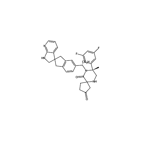 C[C@@]1(c2cc(F)cc(F)c2)CNC2(CCC(=O)C2)C(=O)N1[C@@H](C(=O)O)c1ccc2c(c1)CC1(CNc3ncccc31)C2